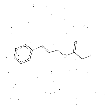 O=C(CI)OCC=Cc1ccccc1